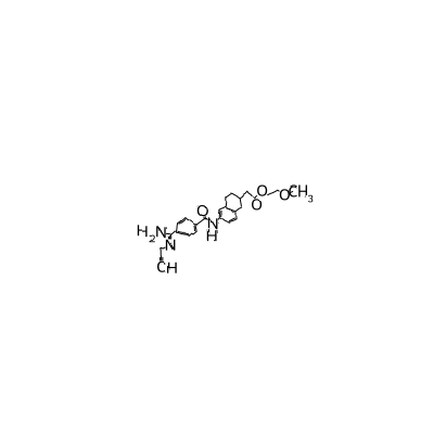 C#CCN=C(N)c1ccc(C(=O)Nc2ccc3c(c2)CCC(CC(=O)OCCOC)C3)cc1